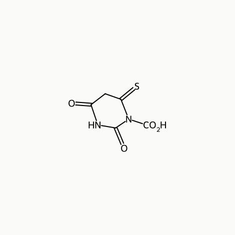 O=C1CC(=S)N(C(=O)O)C(=O)N1